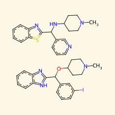 CN1CCC(NC(c2cccnc2)c2nc3ccccc3s2)CC1.CN1CCC(OC(c2cccc(I)c2)c2nc3ccccc3[nH]2)CC1